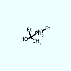 CCC(C)(O)P.CCO